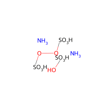 N.N.O=S(=O)(O)O.O=S(=O)(O)OOS(=O)(=O)O